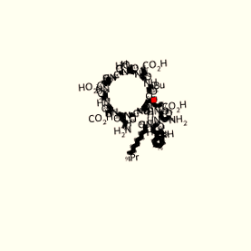 CCC(C)C1NC(=O)C(CCC(=O)O)NC(=O)C(CO)NC(=O)CNC(=O)C(CC(=O)O)NC(=O)C(C)NC(=O)C(CC(=O)O)NC(=O)C(CCCN)NC(=O)CNC(=O)C(NC(=O)C(CC(=O)O)NC(=O)C(CC(N)=O)NC(=O)C(Cc2c[nH]c3ccccc23)NC(=O)CCCCCCCCC(C)C)C(C)OC1=O